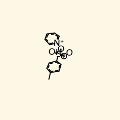 Cc1ccc(S(=O)(=O)O[n+]2ccccc2)cc1.O